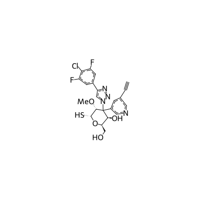 C#Cc1cncc(C2(n3cc(-c4cc(F)c(Cl)c(F)c4)nn3)[C@@H](O)[C@@H](CO)O[C@H](S)[C@@H]2OC)c1